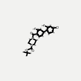 CC(C)(C)OC(=O)N1CCN(C(=O)c2ccc(-c3ccc(Cl)cc3F)cc2F)CC1